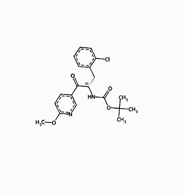 COc1ccc(C(=O)[C@H](Cc2ccccc2Cl)NC(=O)OC(C)(C)C)cn1